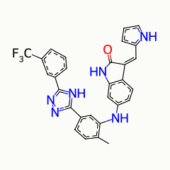 Cc1ccc(-c2nnc(-c3cccc(C(F)(F)F)c3)[nH]2)cc1Nc1ccc2c(c1)NC(=O)/C2=C\c1ccc[nH]1